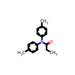 CCC(=O)N(c1ccc(C)cc1)c1ccc(C)cc1